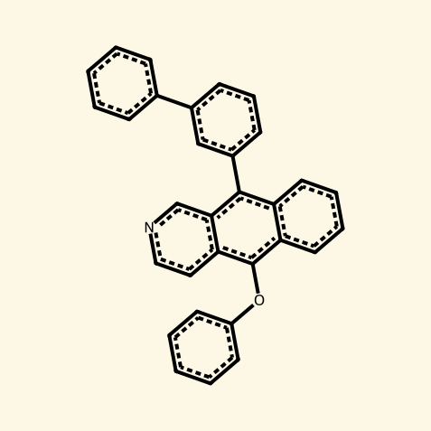 c1ccc(Oc2c3ccccc3c(-c3cccc(-c4ccccc4)c3)c3cnccc23)cc1